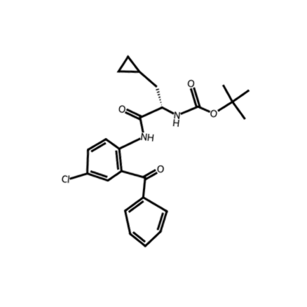 CC(C)(C)OC(=O)N[C@@H](CC1CC1)C(=O)Nc1ccc(Cl)cc1C(=O)c1ccccc1